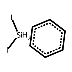 I[SiH2]I.c1ccccc1